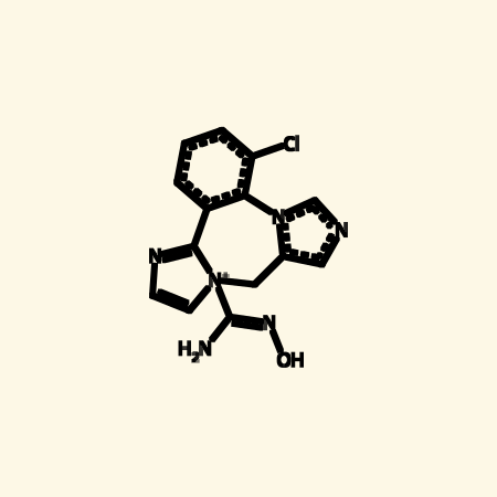 NC(=NO)[N+]12C=CN=C1c1cccc(Cl)c1-n1cncc1C2